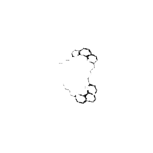 CCCCc1ccc2ccc3ccc(CCCCc4ccc5ccc6ccc(CCCC)nc6c5n4)nc3c2n1